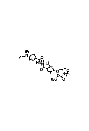 C=CCN(c1ccc(C(=O)NNC(=O)c2cc(F)c(OCC3COC(C)(C)N3C(=O)OC(C)(C)C)cc2Cl)cn1)C(C)C